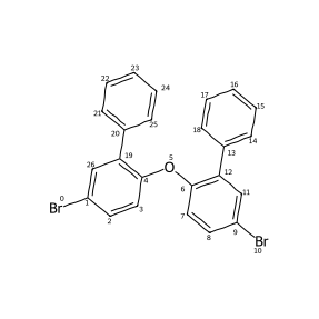 Brc1ccc(Oc2ccc(Br)cc2-c2ccccc2)c(-c2ccccc2)c1